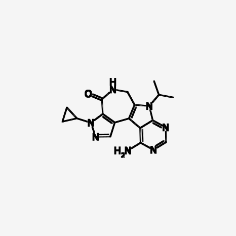 CC(C)n1c2c(c3c(N)ncnc31)-c1cnn(C3CC3)c1C(=O)NC2